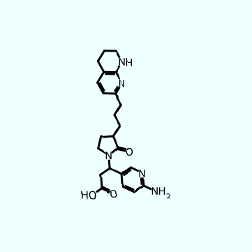 Nc1ccc(C(CC(=O)O)N2CCC(CCCc3ccc4c(n3)NCCC4)C2=O)cn1